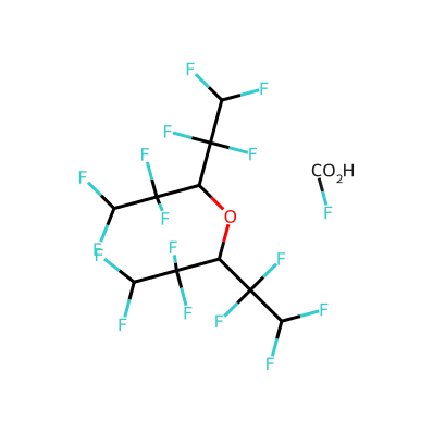 FC(F)C(F)(F)C(OC(C(F)(F)C(F)F)C(F)(F)C(F)F)C(F)(F)C(F)F.O=C(O)F